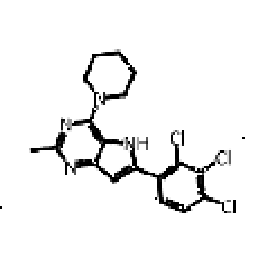 Cc1nc(N2CCCCC2)c2[nH]c(-c3ccc(Cl)c(Cl)c3Cl)cc2n1